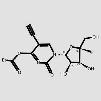 C#Cc1cn([C@@H]2O[C@](F)(CO)[C@@H](O)[C@H]2O)c(=O)nc1OC(=O)CC